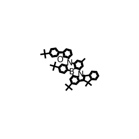 Cc1cc2c3c(c1)-n1c4c(c5cc(C(C)(C)C)cc(c51)B3c1ccc(C(C)(C)C)cc1N2c1cccc2c1oc1cc(C(C)(C)C)ccc12)C(C)(C)c1ccccc1-4